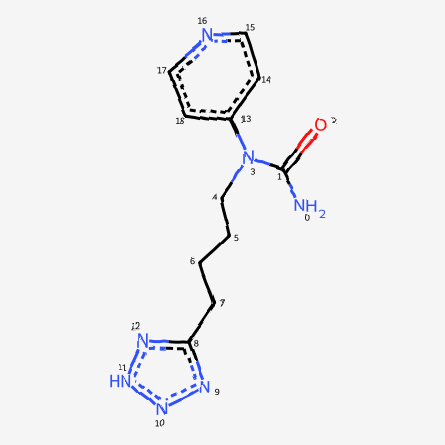 NC(=O)N(CCCCc1nn[nH]n1)c1ccncc1